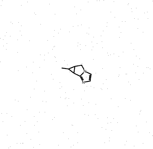 CC1C2Cn3ccnc3C12